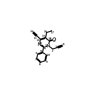 C#CCn1c(-c2ccccc2)nc(C#C)c(CC)c1=O